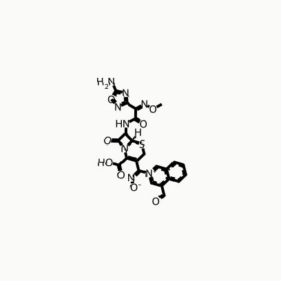 CO/N=C(\C(=O)NC1C(=O)N2C(C(=O)O)=C(C(=N[O-])[n+]3cc(C=O)c4ccccc4c3)CS[C@@H]12)c1noc(N)n1